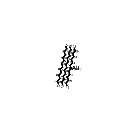 CCCCCCCCCCCCCC.CCCCCCCCCCCCCC.CCCCCCCCCCCCCC.[Al].[KH]